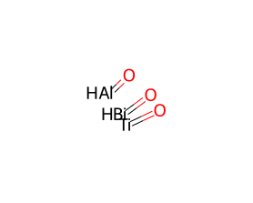 [O]=[AlH].[O]=[BiH].[O]=[Ti]